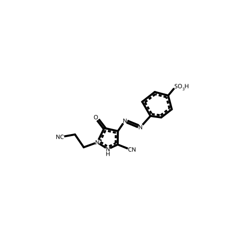 N#CCCn1[nH]c(C#N)c(N=Nc2ccc(S(=O)(=O)O)cc2)c1=O